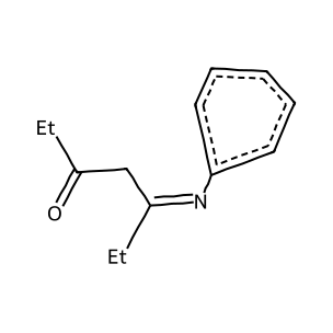 CCC(=O)CC(CC)=Nc1ccccc1